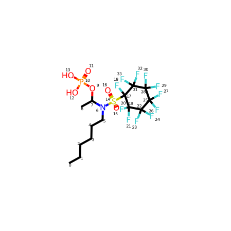 CCCCCCN(C(C)OP(=O)(O)O)S(=O)(=O)C1(F)C(F)(F)C(F)(F)C(F)(F)C(F)(F)C1(F)F